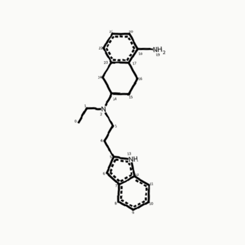 CCN(CCc1cc2ccccc2[nH]1)C1CCc2c(N)cccc2C1